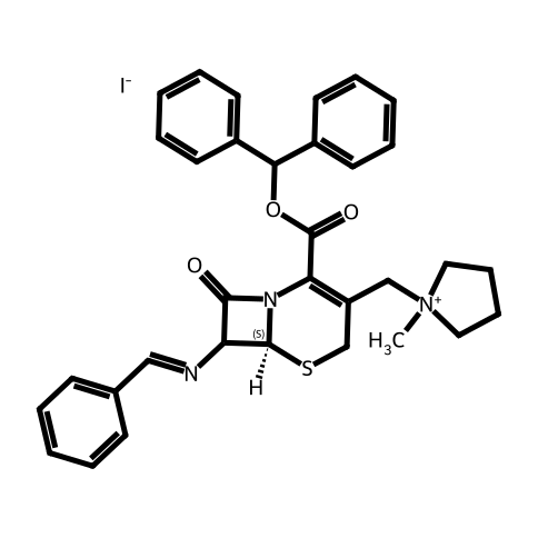 C[N+]1(CC2=C(C(=O)OC(c3ccccc3)c3ccccc3)N3C(=O)C(N=Cc4ccccc4)[C@@H]3SC2)CCCC1.[I-]